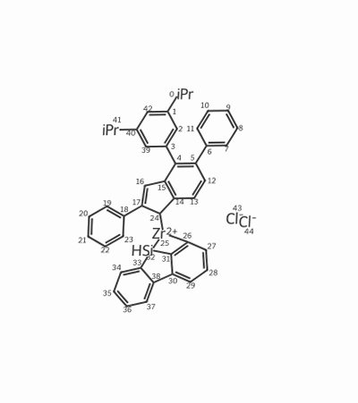 CC(C)c1cc(-c2c(-c3ccccc3)ccc3c2C=C(c2ccccc2)[CH]3[Zr+2]2[c]3cccc4c3[SiH]2c2ccccc2-4)cc(C(C)C)c1.[Cl-].[Cl-]